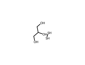 OCC(O)CO.SS